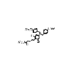 COC(=O)CCCCc1c(Cl)cc(N(Cc2ccc(OC)cc2)Cc2ccc(OC)cc2)cc1Br